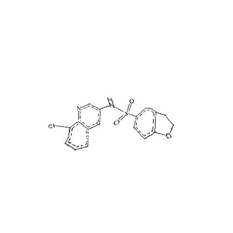 O=S(=O)(Nc1cnc2c(Cl)cccc2c1)c1ccc2c(c1)CCO2